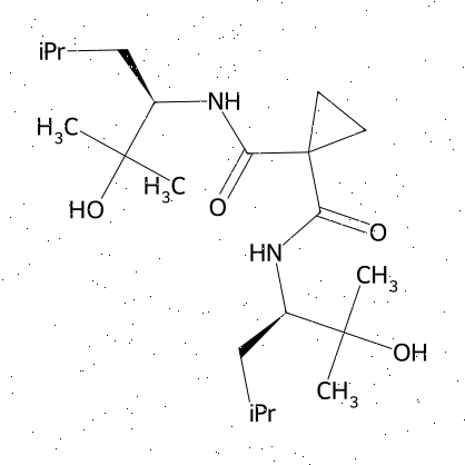 CC(C)C[C@@H](NC(=O)C1(C(=O)N[C@H](CC(C)C)C(C)(C)O)CC1)C(C)(C)O